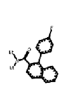 CCN(CC)C(=O)c1ccc2ccccc2c1-c1ccc(F)cc1